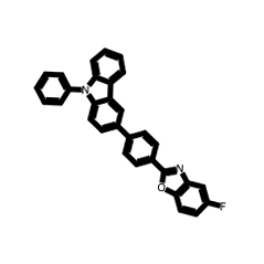 Fc1ccc2oc(-c3ccc(-c4ccc5c(c4)c4ccccc4n5-c4ccccc4)cc3)nc2c1